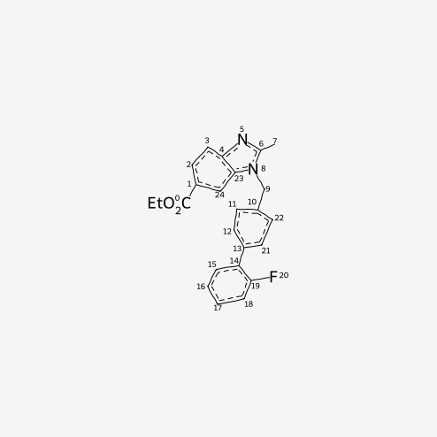 CCOC(=O)c1ccc2nc(C)n(Cc3ccc(-c4ccccc4F)cc3)c2c1